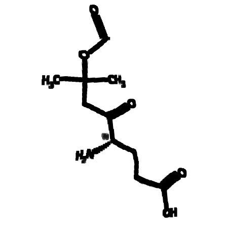 CC(C)(CC(=O)[C@@H](N)CCC(=O)O)O[C]=O